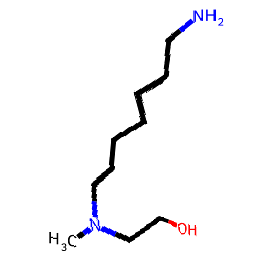 CN(CCO)CCCCCCCN